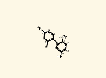 Cc1cc(F)ccc1-c1cc(F)ccc1C(C)C